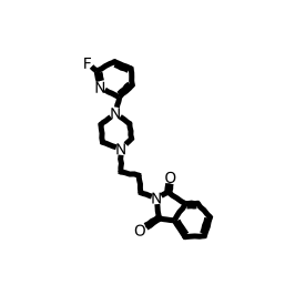 O=C1c2ccccc2C(=O)N1CCCN1CCN(c2cccc(F)n2)CC1